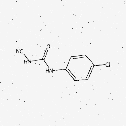 N#CNC(=O)Nc1ccc(Cl)cc1